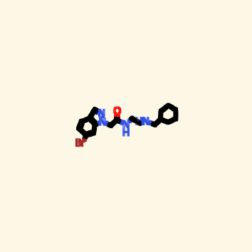 O=C(Cn1ncc2ccc(Br)cc21)NCCNCC1CCCCC1